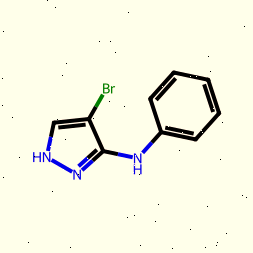 Brc1c[nH]nc1Nc1ccccc1